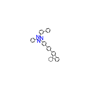 c1ccc(-c2cccc(-c3nc(-c4ccccc4)nc(-c4ccc(-c5ccc(-c6ccc7c(c6)C6(CCCCC6)c6ccccc6-7)cc5)cc4)n3)c2)cc1